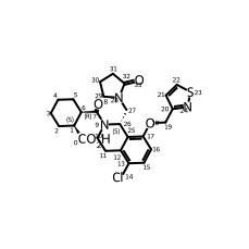 O=C(O)[C@H]1CCCC[C@H]1C(=O)N1CCc2c(Cl)ccc(OCc3ccsn3)c2[C@H]1CN1CCCC1=O